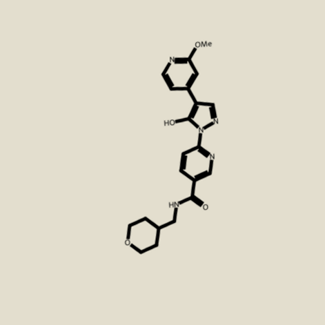 COc1cc(-c2cnn(-c3ccc(C(=O)NCC4CCOCC4)cn3)c2O)ccn1